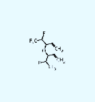 C=CC(OC(C=C)C(F)C(F)(F)F)C(F)C(F)(F)F